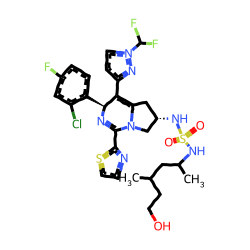 CC(CCO)CC(C)NS(=O)(=O)N[C@H]1CC2=C(c3ccn(C(F)F)n3)[C@H](c3ccc(F)cc3Cl)N=C(c3nccs3)N2C1